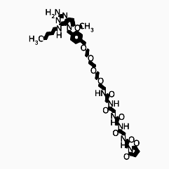 CCCCCNc1nc(N)nc2ccn(Cc3ccc(COCCOCCOCCOCCNC(=O)CNC(=O)CNC(=O)CNC(=O)CNC(=O)CN4C(=O)C=CC4=O)cc3OC)c12